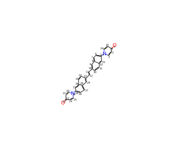 O=c1ccn(-c2ccc3cc(/C=C/c4ccc5cc(-n6ccc(=O)cc6)ccc5c4)ccc3c2)cc1